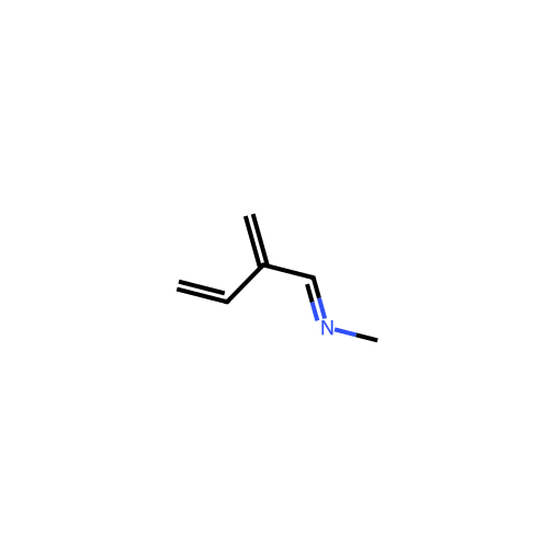 C=CC(=C)/C=N/C